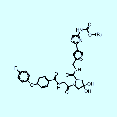 CC(C)(C)OC(=O)Nc1csc(-c2csc(CNC(=O)C3CC(O)(O)CN3C(=O)CNC(=O)C3=CCC(Oc4ccc(F)cc4)C=C3)c2)n1